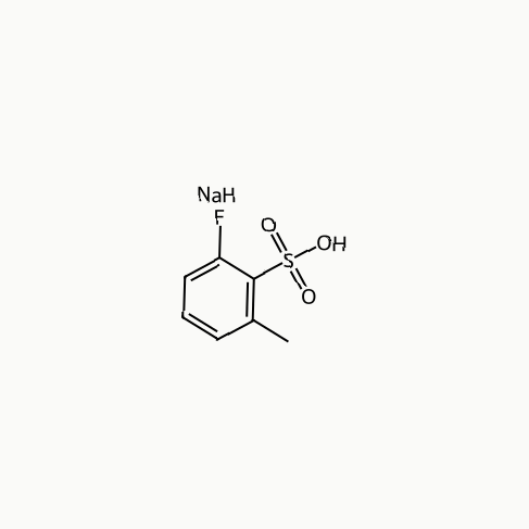 Cc1cccc(F)c1S(=O)(=O)O.[NaH]